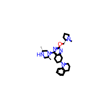 C[C@@H]1CN(c2nc(OC[C@@H]3CCCN3C)nc3c2CC[C@H](N2CCCc4ccccc42)C3)[C@@H](C)CN1